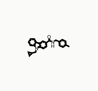 Cc1ccc(CNC(=O)c2ccc3c(c2)c2ccccc2n3CC2CC2)cc1